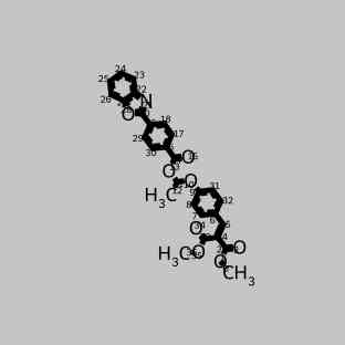 COC(=O)C(=Cc1ccc(OC(C)OC(=O)c2ccc(-c3nc4ccccc4o3)cc2)cc1)C(=O)OC